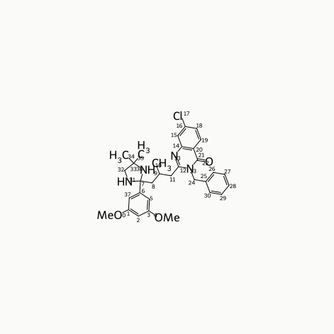 COc1cc(OC)cc(C2(CC(C)Cc3nc4cc(Cl)ccc4c(=O)n3Cc3ccccc3)NCC(C)(C)N2)c1